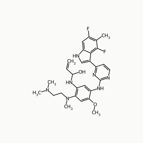 C=CC(O)Nc1cc(Nc2nccc(-c3c[nH]c4cc(F)c(C)c(F)c34)n2)c(OC)cc1N(C)CCN(C)C